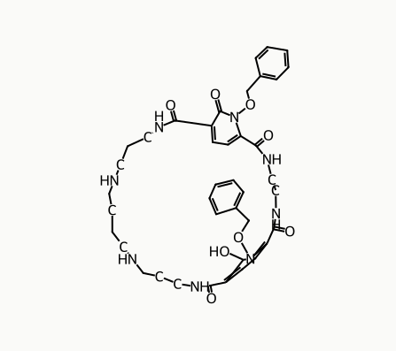 O=C1NCCCNCCCCNCCCNC(=O)c2ccc(n(OCc3ccccc3)c2=O)C(=O)NCCNC(=O)C2=CC=C1C(O)N2OCc1ccccc1